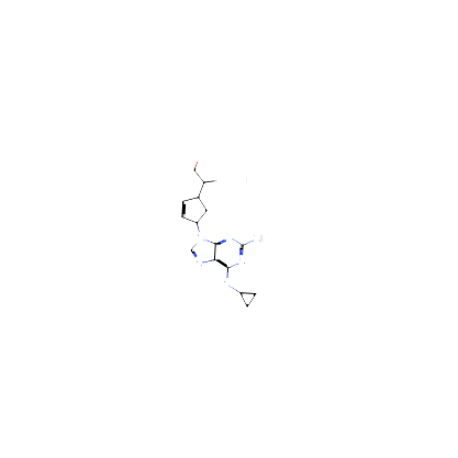 Nc1nc(NC2CC2)c2ncn(C3C=CC(C(CO)C(=O)O)C3)c2n1